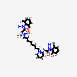 CCC[N+](CC)(CCCCCCCCN1CCCC[C@H]1CC(=O)Nc1c(C)cccc1C)CC(=O)Nc1c(C)cccc1C